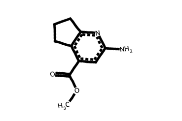 COC(=O)c1cc(N)nc2c1CCC2